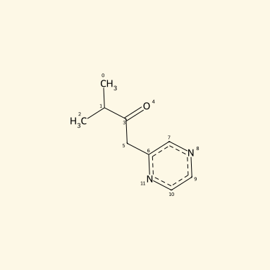 CC(C)C(=O)Cc1cnccn1